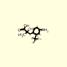 CC(C)(Cc1ccc(N)cc1C(F)(F)F)C(=O)O